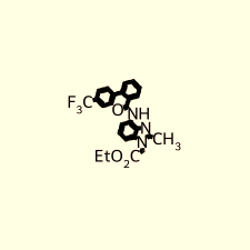 CCOC(=O)Cn1c(C)nc2c(NC(=O)c3ccccc3-c3ccc(C(F)(F)F)cc3)cccc21